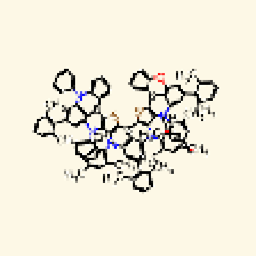 Cc1cc(C)c(N2c3cc(-c4c(C)cccc4C)cc4c3B(c3sc5c(c32)N(c2ccccc2)c2cc(-c3c(C)cccc3C)cc3c2B5c2ccccc2N3c2ccccc2)c2sc3c(c2N4c2c(C)cc(C)cc2C)N(c2c(C)cc(C)cc2C)c2cc(-c4c(C)cccc4C)cc4c2B3c2ccccc2O4)c(C)c1